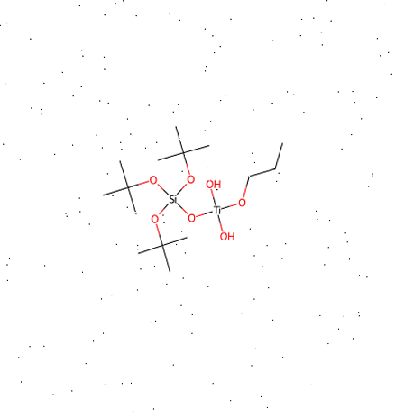 CCC[O][Ti]([OH])([OH])[O][Si](OC(C)(C)C)(OC(C)(C)C)OC(C)(C)C